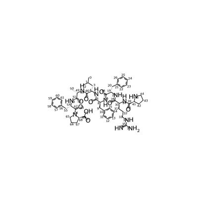 CC(C)C[C@H](NC(=O)[C@H](Cc1ccccc1)NC(=O)[C@H](Cc1ccccc1)NC(=O)[C@H](CCCNC(=N)N)NC(=O)[C@@H]1CCCN1)C(=O)N[C@@H](C)C(=O)N[C@@H](Cc1ccccc1)C(=O)N1CCC[C@@H]1C(=O)O